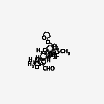 C=C(C)[C@@H]1CC[C@]2(COC3CCCCO3)CC[C@]3(C)[C@H](CC[C@@H]4[C@@]5(C)CC(C=O)C(=O)C(C)(C)[C@@H]5CC[C@]43C)[C@@H]12